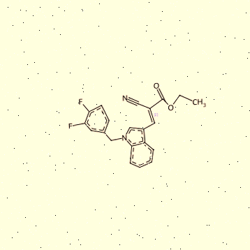 CCOC(=O)/C(C#N)=C/c1cn(Cc2ccc(F)c(F)c2)c2ccccc12